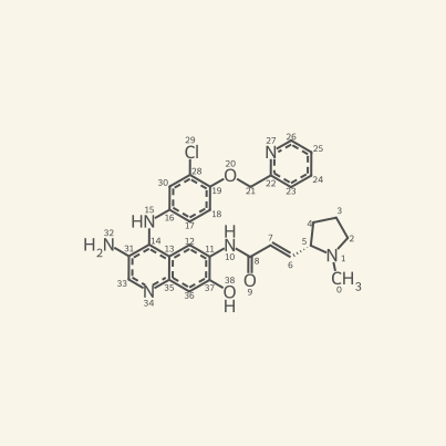 CN1CCC[C@H]1/C=C/C(=O)Nc1cc2c(Nc3ccc(OCc4ccccn4)c(Cl)c3)c(N)cnc2cc1O